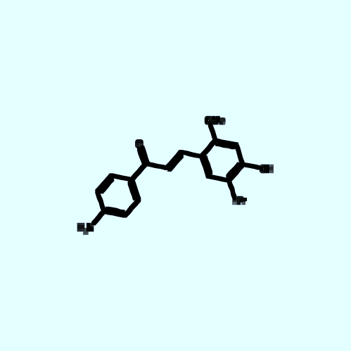 CCCc1cc(/C=C/C(=O)c2ccc(N)cc2)c(OC)cc1O